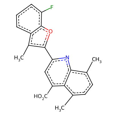 Cc1c(-c2cc(C(=O)O)c3c(C)ccc(C)c3n2)oc2c(F)cccc12